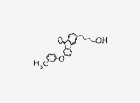 Cc1cccc(Oc2ccc3c(c2)C(=O)c2ccc(CCCCO)cc2-3)c1